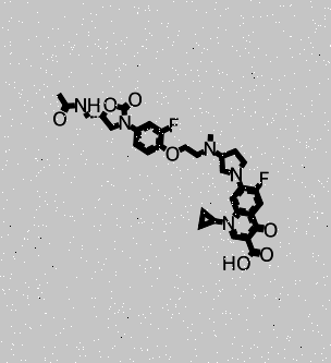 CC(=O)NC[C@H]1CN(c2ccc(OCCN(C)C3CCN(c4cc5c(cc4F)c(=O)c(C(=O)O)cn5C4CC4)C3)c(F)c2)C(=O)O1